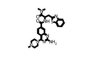 CN1CCN(c2nc(N)nc3cc(C(=O)NC(Cc4nc5ccccc5s4)C(=O)N(C)C)ccc23)CC1